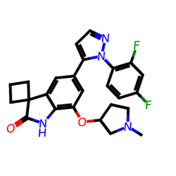 CN1CCC(Oc2cc(-c3ccnn3-c3ccc(F)cc3F)cc3c2NC(=O)C32CCC2)C1